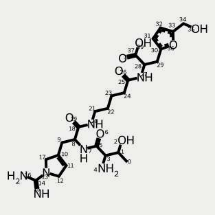 CC(O)C(N)C(=O)NC(CC1=CCN(C(=N)N)C1)C(=O)NCCCCC(=O)NC(Cc1ccc(CO)o1)C(=O)O